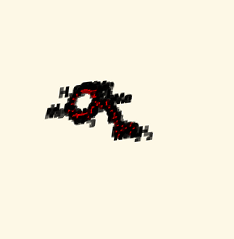 CO[C@H]1C[C@@H]2CC[C@@H](C)[C@@](O)(O2)C(=O)C(=O)N2CCCC[C@H]2C(=O)O[C@H]([C@H](C)C[C@@H]2CC[C@@H](OCCOCc3cn(CCCCn4nc(-c5ccc6oc(N)nc6c5)c5c(N)ncnc54)nn3)[C@H](OC)C2)CC(=O)[C@H](C)/C=C(\C)[C@@H](CO)[C@@H](OC)C(=O)[C@H](C)C[C@H](C)/C=C/C=C/C=C/1C